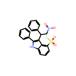 O=[N+]([O-])CC(c1ccccc1)c1c(-c2ccccc2)[nH]c2cccc(S(=O)(=O)F)c12